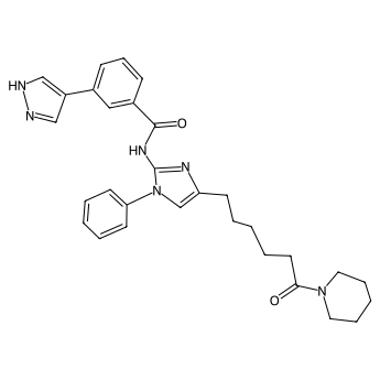 O=C(Nc1nc(CCCCCC(=O)N2CCCCC2)cn1-c1ccccc1)c1cccc(-c2cn[nH]c2)c1